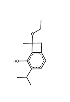 CCOC1(C)Cc2ccc(C(C)C)c(O)c21